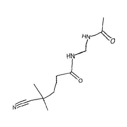 CC(=O)NCNC(=O)CCC(C)(C)C#N